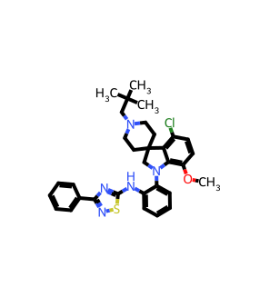 COc1ccc(Cl)c2c1N(c1ccccc1Nc1nc(-c3ccccc3)ns1)CC21CCN(CC(C)(C)C)CC1